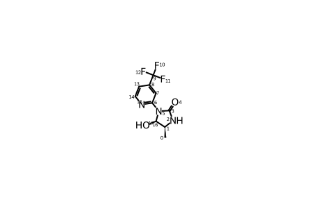 C[C@@H]1NC(=O)N(c2cc(C(F)(F)F)ccn2)C1O